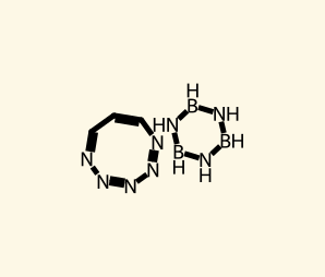 B1NBNBN1.C1=CN=NN=NN=C1